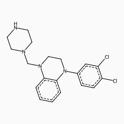 Clc1ccc(N2CCN(CN3CCNCC3)c3ccccc32)cc1Cl